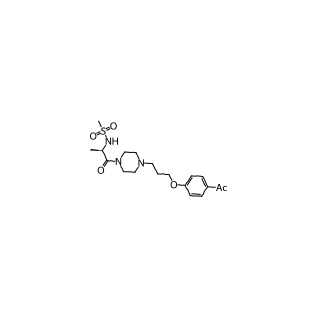 CC(=O)c1ccc(OCCCN2CCN(C(=O)[C@@H](C)NS(C)(=O)=O)CC2)cc1